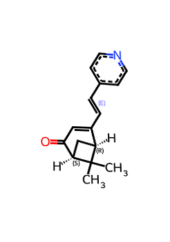 CC1(C)[C@@H]2C[C@H]1C(/C=C/c1ccncc1)=CC2=O